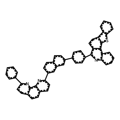 c1ccc(-c2ccc3ccc4ccc(-c5ccc6ccc(-c7ccc(-c8nc9ccccc9c9c8ccc8c%10ccccc%10sc89)cc7)cc6c5)nc4c3n2)cc1